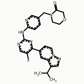 CC(C)c1cnn2ccc(-c3nc(Nc4ccc(CN5CCOCC5=O)cn4)ncc3F)cc12